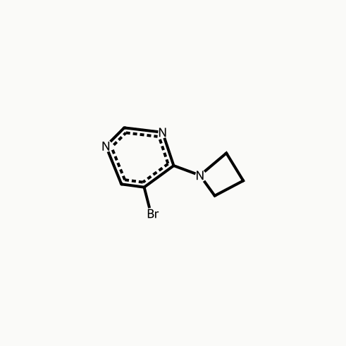 Brc1cncnc1N1CCC1